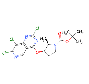 C[C@@H]1[C@H](Oc2nc(Cl)nc3c(Cl)c(Cl)ncc23)CCN1C(=O)OC(C)(C)C